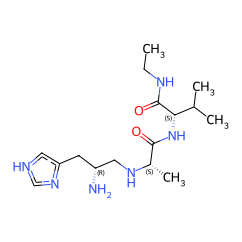 CCNC(=O)[C@@H](NC(=O)[C@H](C)NC[C@H](N)Cc1c[nH]cn1)C(C)C